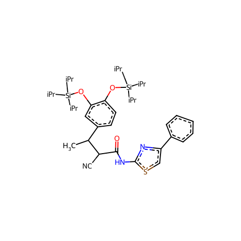 CC(c1ccc(O[Si](C(C)C)(C(C)C)C(C)C)c(O[Si](C(C)C)(C(C)C)C(C)C)c1)C(C#N)C(=O)Nc1nc(-c2ccccc2)cs1